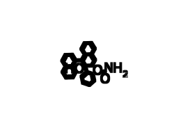 NC(=O)Oc1ccccc1C1(O)CC=c2ccccc2=C1c1cccc2ccccc12